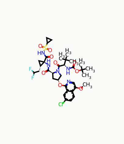 COc1cnc(O[C@@H]2C[C@@H](C(=O)N[C@]3(C(=O)NS(=O)(=O)C4CC4)C[C@H]3CC(F)F)N(C(=O)[C@@H](NC(=O)OC(C)(C)C)C(C)(C)C)C2)c2cc(Cl)ccc12